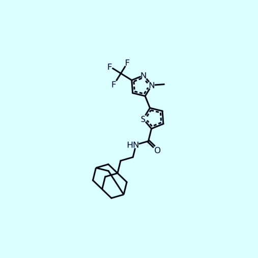 Cn1nc(C(F)(F)F)cc1-c1ccc(C(=O)NCCC23CC4CC(CC(C4)C2)C3)s1